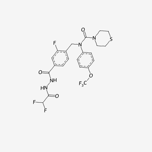 O=C(NNC(=O)C(F)F)c1ccc(CN(C(=O)N2CCSCC2)c2ccc(OC(F)(F)F)cc2)c(F)c1